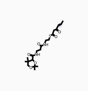 C/C=C/C(=O)CC(=O)SCCNC(=O)CCNC(=O)C1OC(C)(C)OCC1(C)C